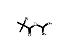 CCC(C)(C)C(=O)OC(C(C)C)C(C)C